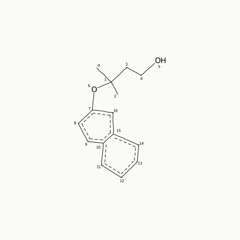 CC(C)(CCO)Oc1ccc2ccccc2c1